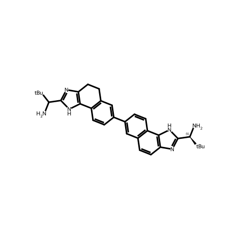 CC(C)(C)C(N)c1nc2c([nH]1)-c1ccc(-c3ccc4c(ccc5nc([C@@H](N)C(C)(C)C)[nH]c54)c3)cc1CC2